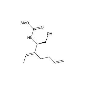 C=CCC/C(=C\C)[C@H](CO)NC(=O)OC